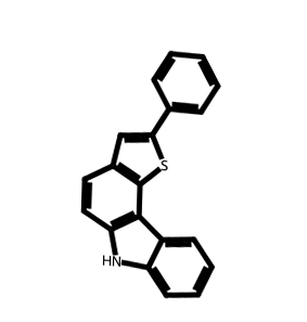 c1ccc(-c2cc3ccc4[nH]c5ccccc5c4c3s2)cc1